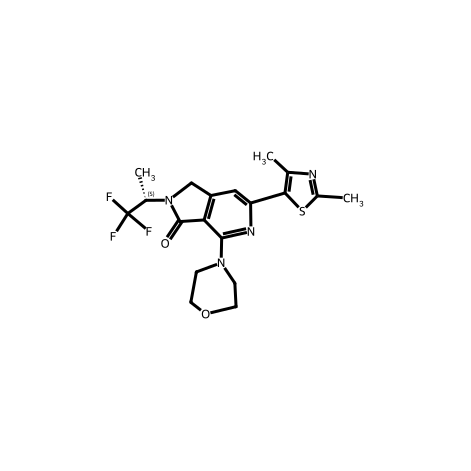 Cc1nc(C)c(-c2cc3c(c(N4CCOCC4)n2)C(=O)N([C@@H](C)C(F)(F)F)C3)s1